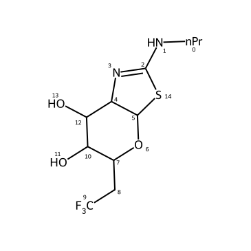 CCCNC1=NC2C(OC(CC(F)(F)F)C(O)C2O)S1